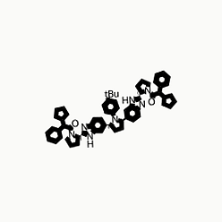 CC(C)(C)c1ccc(N2[C@@H](c3ccc4nc([C@@H]5CCCN5C(=O)C(c5ccccc5)C5CCCC5)[nH]c4c3)CC[C@@H]2c2ccc3nc([C@@H]4CCCN4C(=O)C(C4C=CC=CC4)C4CCCC4)[nH]c3c2)cc1